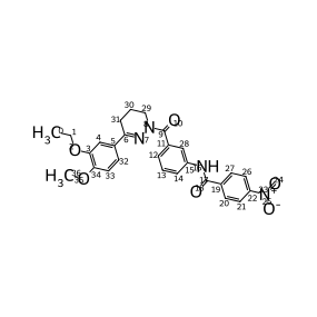 CCOc1cc(C2=NN(C(=O)c3cccc(NC(=O)c4ccc([N+](=O)[O-])cc4)c3)CCC2)ccc1OC